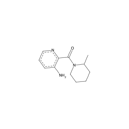 CC1CCCCN1C(=O)c1ncccc1N